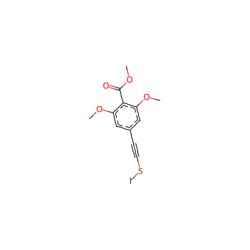 COC(=O)c1c(OC)cc(C#CSI)cc1OC